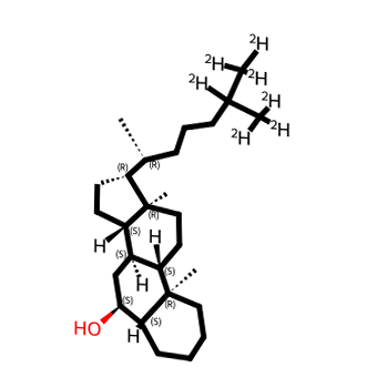 [2H]C([2H])([2H])C([2H])(CCC[C@@H](C)[C@H]1CC[C@H]2[C@@H]3C[C@H](O)[C@H]4CCCC[C@]4(C)[C@H]3CC[C@]12C)C([2H])([2H])[2H]